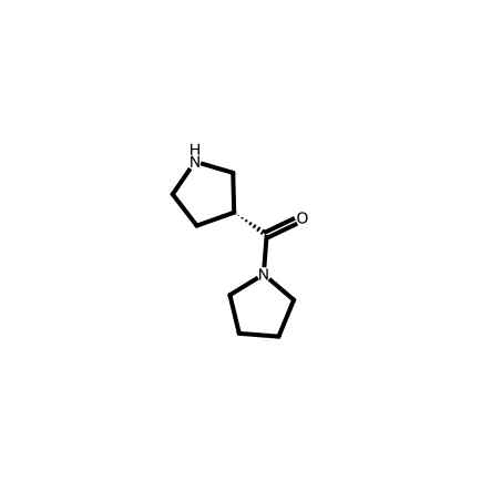 O=C([C@@H]1CCNC1)N1CCCC1